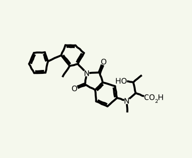 Cc1c(-c2ccccc2)cccc1N1C(=O)c2ccc(N(C)C(C(=O)O)C(C)O)cc2C1=O